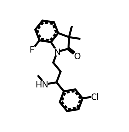 CNC(CCN1C(=O)C(C)(C)c2cccc(F)c21)c1cccc(Cl)c1